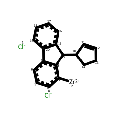 [Cl-].[Cl-].[Zr+2][c]1cccc2c1C(C1C=CCC1)c1ccccc1-2